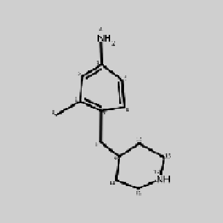 Cc1cc(N)ccc1CC1CCNCC1